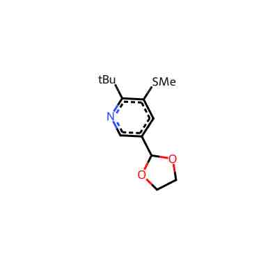 CSc1cc(C2OCCO2)cnc1C(C)(C)C